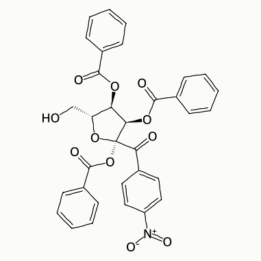 O=C(O[C@H]1[C@@H](OC(=O)c2ccccc2)[C@@](OC(=O)c2ccccc2)(C(=O)c2ccc([N+](=O)[O-])cc2)O[C@@H]1CO)c1ccccc1